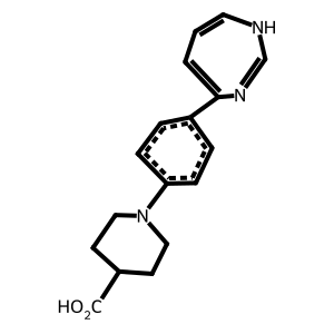 O=C(O)C1CCN(c2ccc(C3=CC=CNC=N3)cc2)CC1